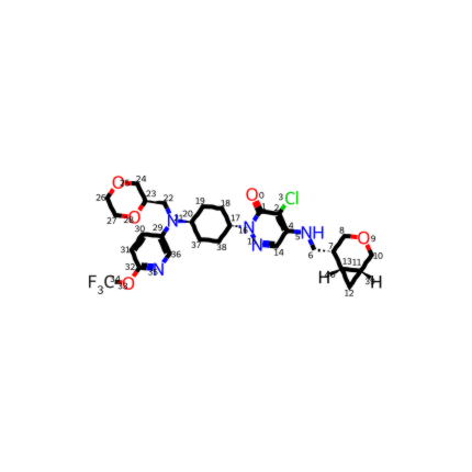 O=c1c(Cl)c(NC[C@@H]2COC[C@@H]3C[C@H]23)cnn1[C@H]1CC[C@H](N(C[C@@H]2COCCO2)c2ccc(OC(F)(F)F)nc2)CC1